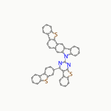 c1ccc2c(c1)sc1cc(-c3nc(-n4c5ccccc5c5cc6c(ccc7c8ccccc8sc67)cc54)nc4sc5ccccc5c34)ccc12